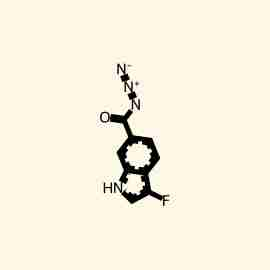 [N-]=[N+]=NC(=O)c1ccc2c(F)c[nH]c2c1